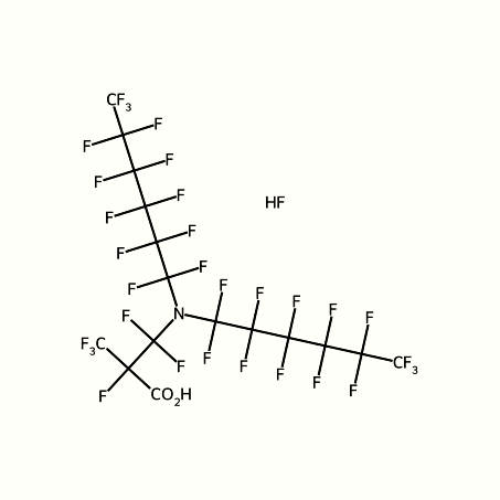 F.O=C(O)C(F)(C(F)(F)F)C(F)(F)N(C(F)(F)C(F)(F)C(F)(F)C(F)(F)C(F)(F)C(F)(F)F)C(F)(F)C(F)(F)C(F)(F)C(F)(F)C(F)(F)C(F)(F)F